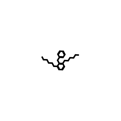 CCCCCCc1cccc(CCCCCC)c1Cc1ccccc1